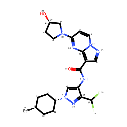 CC[C@H]1CC[C@H](n2cc(NC(=O)c3cnn4ccc(N5CC[C@@H](O)C5)nc34)c(C(F)F)n2)CC1